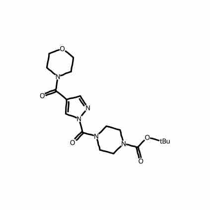 CC(C)(C)OC(=O)N1CCN(C(=O)n2cc(C(=O)N3CCOCC3)cn2)CC1